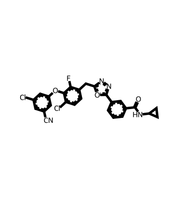 N#Cc1cc(Cl)cc(Oc2c(Cl)ccc(Cc3nnc(-c4cccc(C(=O)NC5CC5)c4)o3)c2F)c1